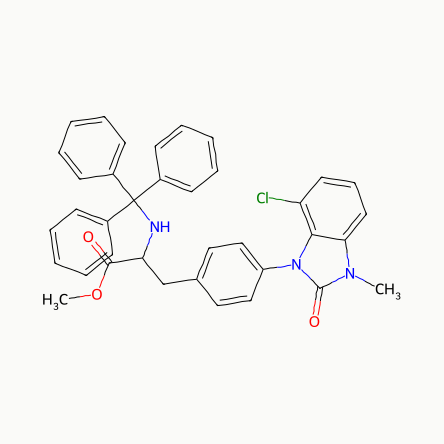 COC(=O)C(Cc1ccc(-n2c(=O)n(C)c3cccc(Cl)c32)cc1)NC(c1ccccc1)(c1ccccc1)c1ccccc1